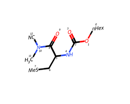 CCCCCCOC(=O)NC(CSC)C(=O)N(C)C#N